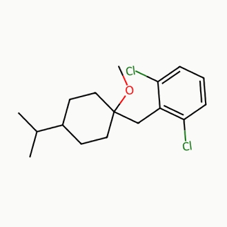 COC1(Cc2c(Cl)cccc2Cl)CCC(C(C)C)CC1